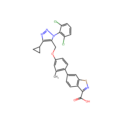 Cc1cc(OCc2c(C3CC3)nnn2-c2c(Cl)cccc2Cl)ccc1-c1ccc2c(C(=O)O)nsc2c1